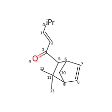 CC(C)C=CC(=O)C1C2C=CC(C2)C1(C)C